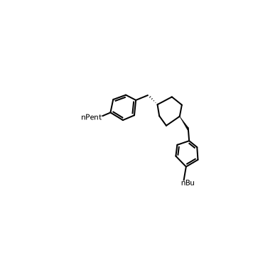 CCCCCc1ccc(C[C@H]2CC[C@H](Cc3ccc(CCCC)cc3)CC2)cc1